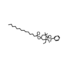 CCCCCCCCCCCCCC(=O)OC1CC(C)(C)N(OC(C)c2ccccc2)C(CC)(CC)C1